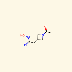 CC(=O)N1CC(CC(=N)NO)C1